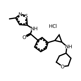 Cc1cc(NC(=O)c2cccc(C3CC3NC3CCOCC3)c2)sn1.Cl